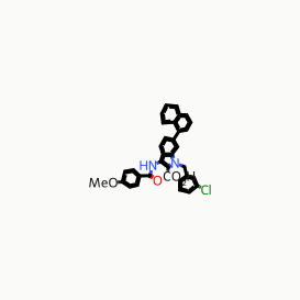 COc1ccc(C(=O)Nc2c(C(=O)O)n(Cc3cccc(Cl)c3)c3cc(-c4cccc5ccccc45)ccc23)cc1